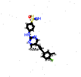 CNc1nc(Nc2ccc([SH](=N)=O)cc2)ncc1C#Cc1ccc(F)c(C)c1